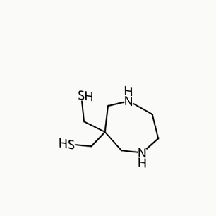 SCC1(CS)CNCCNC1